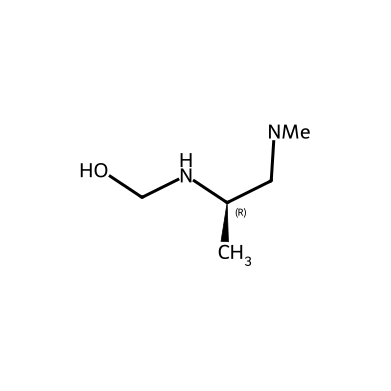 CNC[C@@H](C)NCO